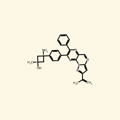 C=C(C)c1cc2ncc3nc(-c4ccccc4)c(-c4ccc([C@]5(N)C[C@](C)(O)C5)cc4)nc3n2n1